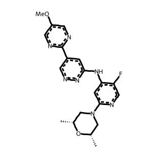 COc1cnc(-c2cnnc(Nc3cc(N4C[C@@H](C)O[C@@H](C)C4)ncc3F)c2)nc1